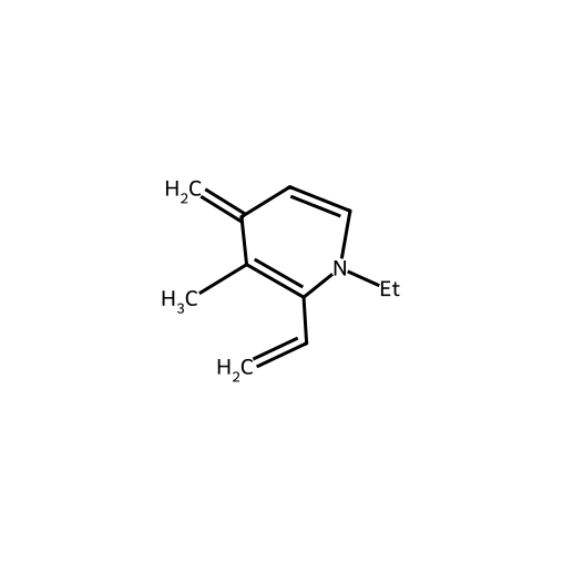 C=CC1=C(C)C(=C)C=CN1CC